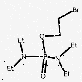 CCN(CC)P(=O)(OCCBr)N(CC)CC